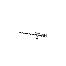 CCCCCCCCCCCCCCCC(O)NCCCCO